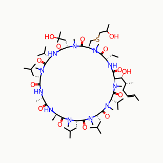 C/C=C/C[C@@H](C)[C@@H](O)[C@H]1C(=O)N[C@@H](CC)C(=O)N(C)[C@H](CSCC(C)O)C(=O)N(C)[C@@H](CC(C)(C)O)C(=O)N[C@@H](C(C)C)C(=O)N(C)[C@@H](CC(C)C)C(=O)N[C@@H](C)C(=O)N[C@H](C)C(=O)N(C)[C@@H](CC(C)C)C(=O)N(C)[C@@H](CC(C)C)C(=O)N(C)[C@@H](C(C)C)C(=O)N1C